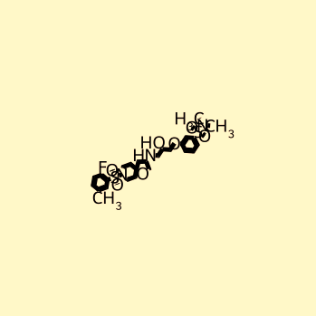 Cc1ccc(F)c(S(=O)(=O)N2CCC3(CC2)CC(NCC(O)COc2cccc(S(=O)(=O)N(C)C)c2)CO3)c1